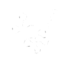 C=CB(c1ccccc1)c1ccccc1.CCCCCOc1ccc([SiH2]C(c2ccccc2)(c2ccccc2)n2ccnc2)cc1